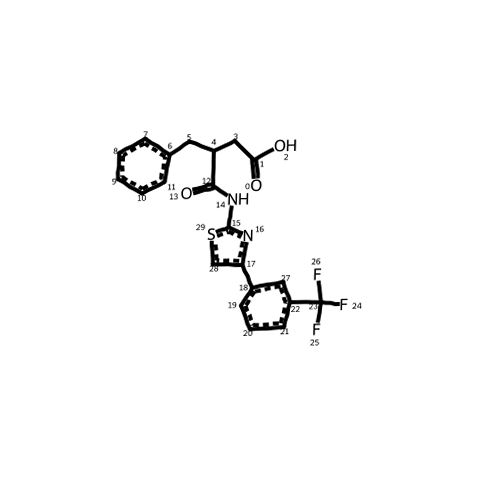 O=C(O)CC(Cc1ccccc1)C(=O)Nc1nc(-c2cccc(C(F)(F)F)c2)cs1